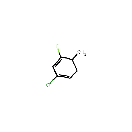 CC1CC=C(Cl)C=C1F